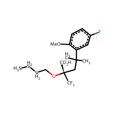 COc1ccc(F)cc1C(C)(C)C[C@](OC[SiH2][SiH2][SiH3])(C(=O)O)C(F)(F)F